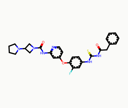 O=C(Cc1ccccc1)NC(=S)Nc1ccc(Oc2ccnc(NC(=O)N3CC(N4CCCC4)C3)c2)c(F)c1